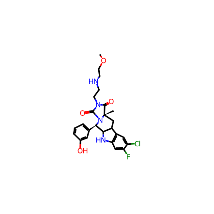 COCCNCCN1C(=O)N2[C@H](c3cccc(O)c3)C3Nc4cc(F)c(Cl)cc4C3C[C@@]2(C)C1=O